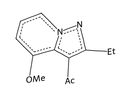 CCc1nn2cccc(OC)c2c1C(C)=O